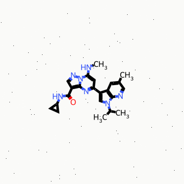 CNc1cc(-c2cn(C(C)C)c3ncc(C)cc23)nc2c(C(=O)NC3CC3)cnn12